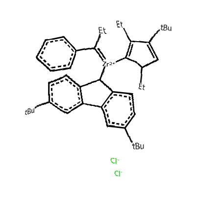 CCC1=[C](/[Zr+2](=[C](\CC)c2ccccc2)[CH]2c3ccc(C(C)(C)C)cc3-c3cc(C(C)(C)C)ccc32)C(CC)C=C1C(C)(C)C.[Cl-].[Cl-]